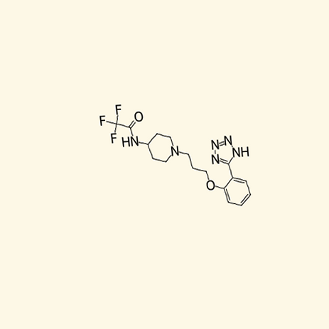 O=C(NC1CCN(CCCOc2ccccc2-c2nnn[nH]2)CC1)C(F)(F)F